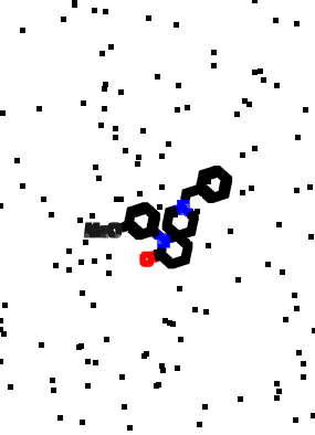 COc1cccc(N2C(=O)CCCC23CCN(Cc2ccccc2)CC3)c1